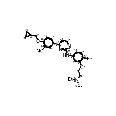 CCN(CC)CCOc1cc(Nc2nccc(-c3ccc(OCC4CC4)c(C#N)c3)n2)ccc1F